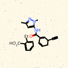 C#C[C]1[C]C=CC(C(=O)Nc2cc(C)nn2C)=C1.CCc1ccccc1C(=O)O